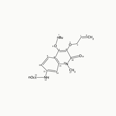 C=CCOc1c(OCCCC)c2ccc(NCCCCCCCC)cc2n(C)c1=O